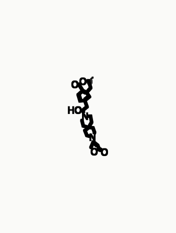 C[C@@H]1Cc2cc(CC(O)N3CCC4(CCN(C5=CC(=O)OC5)CC4)CC3)ccc2C(=O)O1